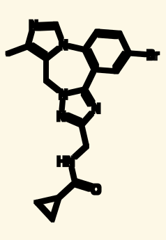 Cc1ncn2c1Cn1nc(CNC(=O)C3CC3)nc1-c1cc(Br)ccc1-2